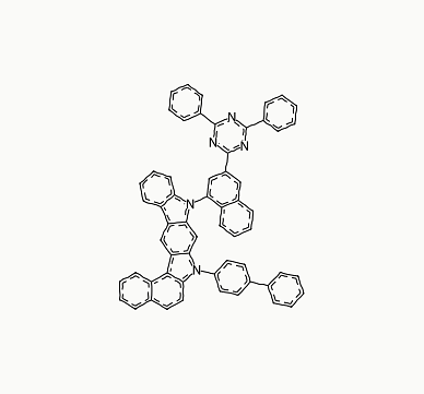 c1ccc(-c2ccc(-n3c4cc5c(cc4c4c6ccccc6ccc43)c3ccccc3n5-c3cc(-c4nc(-c5ccccc5)nc(-c5ccccc5)n4)cc4ccccc34)cc2)cc1